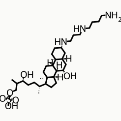 CC(COS(=O)(=O)O)[C@H](O)CC[C@@H](C)C1CC[C@H]2[C@@H]3[C@H](O)C[C@H]4C[C@@H](NCCCNCCCCN)CC[C@]4(C)[C@H]3CC[C@]12C